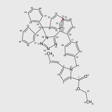 CC=Cc1ccc(C(=O)OCC)n1Cc1ccc(-c2ccccc2-c2nnnn2C(c2ccccc2)(c2ccccc2)c2ccccc2)cc1